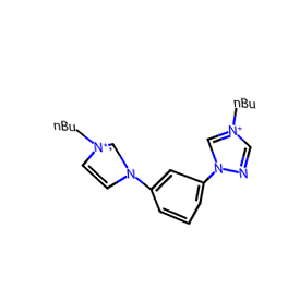 CCCC[n+]1ccn(-c2cccc(-n3c[n+](CCCC)cn3)c2)c1